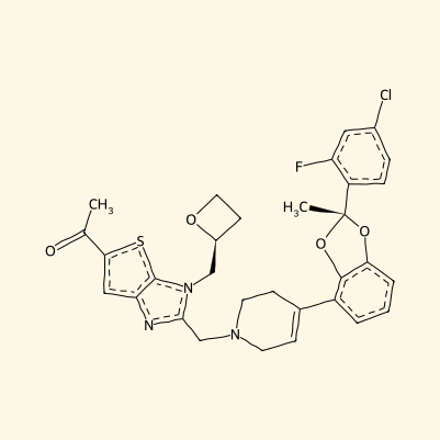 CC(=O)c1cc2nc(CN3CC=C(c4cccc5c4O[C@](C)(c4ccc(Cl)cc4F)O5)CC3)n(C[C@@H]3CCO3)c2s1